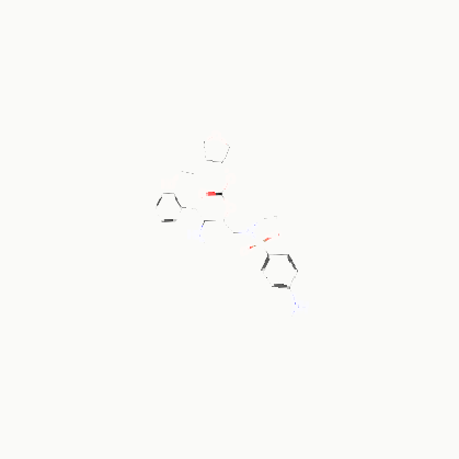 CC(C)CN(CC(OC(=O)O[C@H]1COC[C@H]1CCO)C(Cc1ccccc1)NC(=O)O)S(=O)(=O)c1ccc(NC(=O)O)cc1